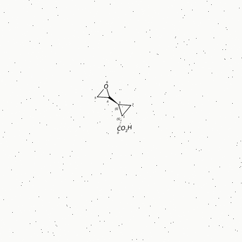 O=C(O)[C@H]1C[C@@H]1C1CO1